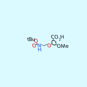 COc1cc(OCCCNC(=O)OC(C)(C)C)cc(C(=O)O)c1